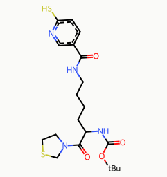 CC(C)(C)OC(=O)NC(CCCCNC(=O)c1ccc(S)nc1)C(=O)N1CCSC1